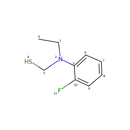 CCN(CS)c1ccccc1F